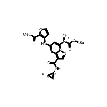 COC(=O)c1occc1Nc1cc(N(C)C(=O)OC(C)(C)C)n2ncc(C(=O)N[C@@H]3C[C@@H]3F)c2n1